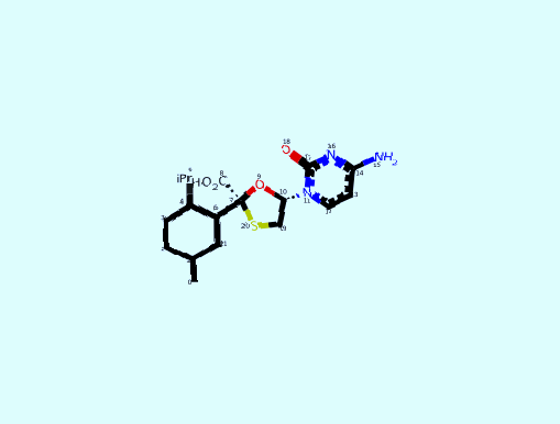 CC1CCC(C(C)C)C([C@@]2(C(=O)O)O[C@H](n3ccc(N)nc3=O)CS2)C1